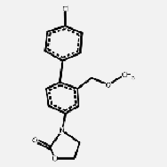 COCc1cc(N2CCOC2=O)ccc1-c1ccc(Cl)cc1